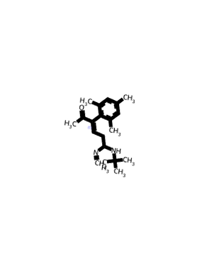 C=NC(C/C=C(/C(C)=O)c1c(C)cc(C)cc1C)NC(C)(C)C